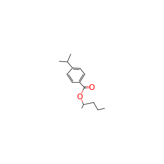 CCCC(C)OC(=O)c1ccc(C(C)C)cc1